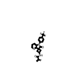 C=C(F)C(=O)NC1CC2(C1)C(=O)N(c1ccc(C(F)(F)F)cc1)c1cccnc12